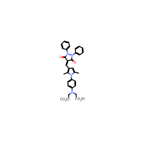 CCOC(=O)CN(CC(=O)OCC)c1ccc(-n2c(C)cc(C=C3C(=O)N(c4ccccc4)N(c4ccccc4)C3=O)c2C)cc1